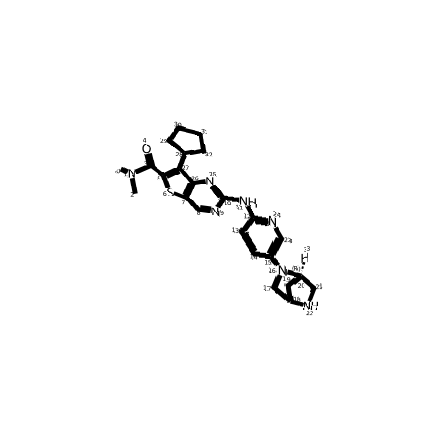 CN(C)C(=O)c1sc2cnc(Nc3ccc(N4CC5C[C@@H]4CN5)cn3)nc2c1C1CCCC1